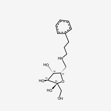 OC[C@@]1(O)O[C@@H](CNCCCc2ccccc2)[C@@H](O)[C@@H]1O